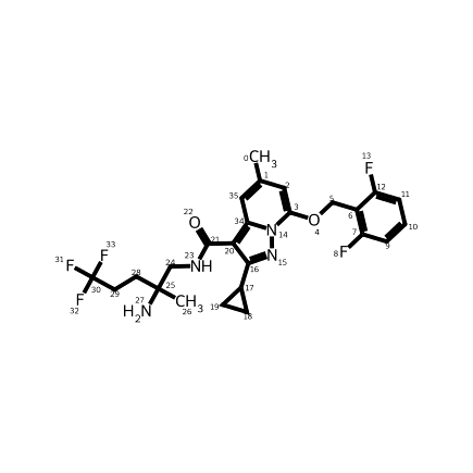 Cc1cc(OCc2c(F)cccc2F)n2nc(C3CC3)c(C(=O)NCC(C)(N)CCC(F)(F)F)c2c1